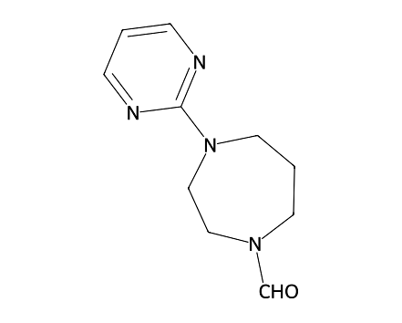 O=CN1CCCN(c2ncccn2)CC1